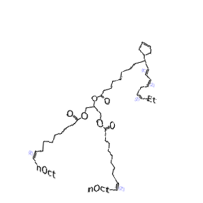 CC/C=C\C/C=C\C=C\C(CCCCCCCC(=O)OC(COC(=O)CCCCCCC/C=C\CCCCCCCC)COC(=O)CCCCCCC/C=C\CCCCCCCC)C1CC=CC1